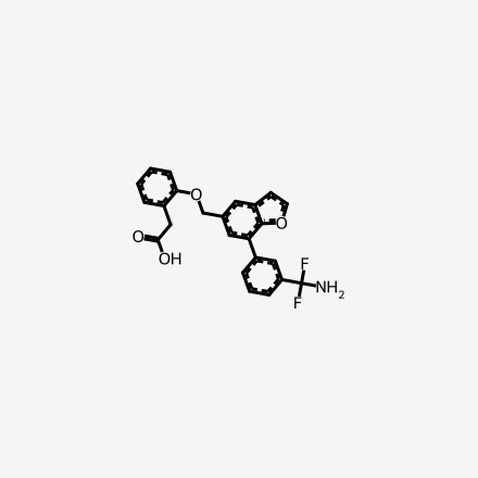 NC(F)(F)c1cccc(-c2cc(COc3ccccc3CC(=O)O)cc3ccoc23)c1